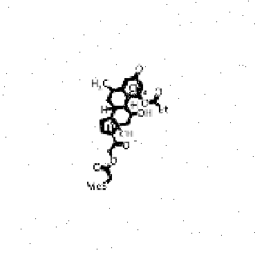 CCC(=O)OC1=CC(=O)C=C2C(C)C[C@@H]3[C@H](C(O)C[C@]4(C)[C@@H](C(=O)COC(=O)CSC)CC[C@@H]34)[C@@]12C